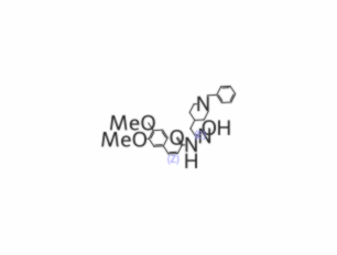 COc1ccc(/C=C\C(=O)N/C(CC2CCN(Cc3ccccc3)CC2)=N/O)cc1OC